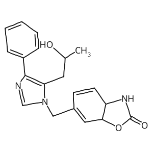 CC(O)Cc1c(-c2ccccc2)ncn1CC1=CC2OC(=O)NC2C=C1